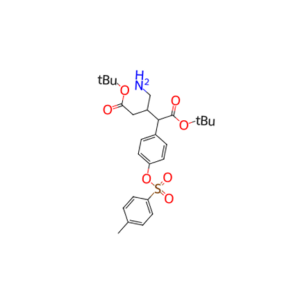 Cc1ccc(S(=O)(=O)Oc2ccc(C(C(=O)OC(C)(C)C)C(CN)CC(=O)OC(C)(C)C)cc2)cc1